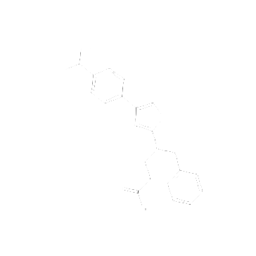 CC(C)c1ccc(-c2csc(N(CCC(=O)O)Cc3ccccc3)n2)cc1.Cl